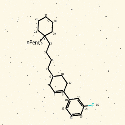 CCCCCC1(CCCCC2CC=C(c3cccc(F)c3)CC2)CCCCC1